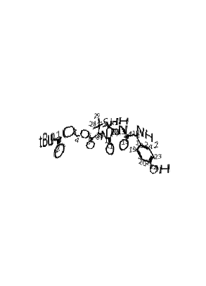 CC(C)(C)C(=O)OCOC(=O)[C@@H]1N2C(=O)[C@@H](NC(=O)C(N)c3ccc(O)cc3)[C@H]2SC1(C)C